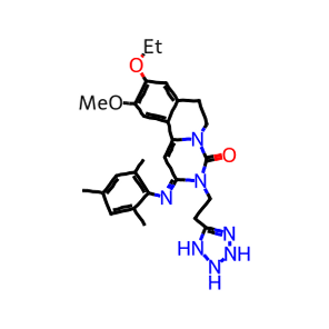 CCOc1cc2c(cc1OC)-c1c/c(=N\c3c(C)cc(C)cc3C)n(CCC3=NNNN3)c(=O)n1CC2